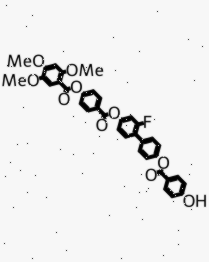 COc1cc(OC)c(C(=O)Oc2ccc(C(=O)Oc3ccc(-c4ccc(OC(=O)c5ccc(O)cc5)cc4)c(F)c3)cc2)cc1OC